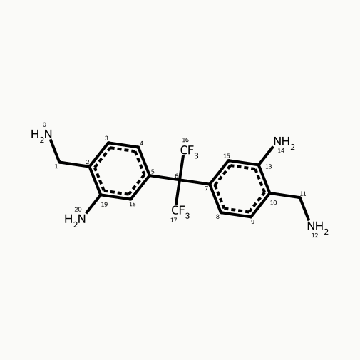 NCc1ccc(C(c2ccc(CN)c(N)c2)(C(F)(F)F)C(F)(F)F)cc1N